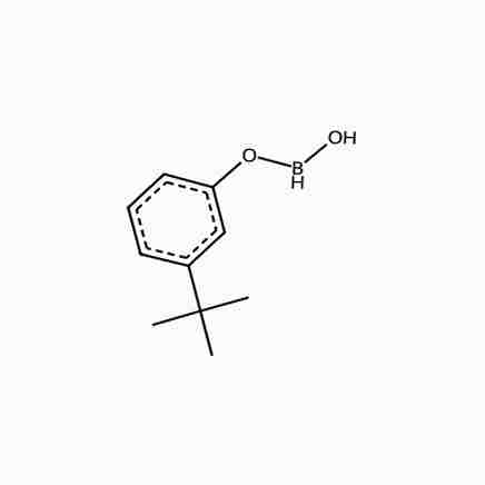 CC(C)(C)c1cccc(OBO)c1